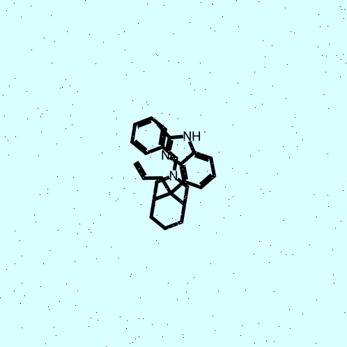 C=CCC1(c2cccc3[nH]c(C)nc23)C2CCCC1CN(Cc1ccccc1)C2